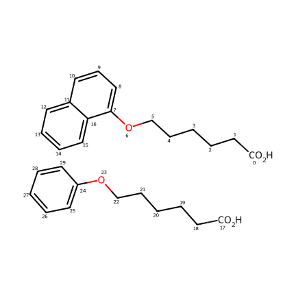 O=C(O)CCCCCOc1cccc2ccccc12.O=C(O)CCCCCOc1ccccc1